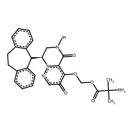 CC(C)N1C[C@H](C2c3ccccc3CCc3ccccc32)n2ncc(=O)c(OCOC(=O)C(C)(C)N)c2C1=O